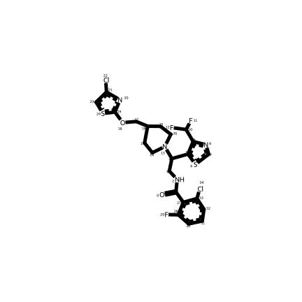 O=C(NCC(c1scnc1C(F)F)N1CCC(COc2nc(Cl)cs2)CC1)c1c(F)cccc1Cl